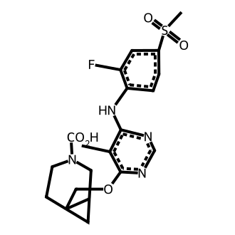 Cc1c(Nc2ccc(S(C)(=O)=O)cc2F)ncnc1OCC12CCN(C(=O)O)CC1C2